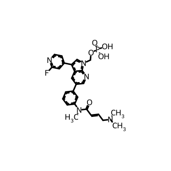 CN(C)C/C=C/C(=O)N(C)c1cccc(-c2cnc3c(c2)c(-c2ccnc(F)c2)cn3COP(=O)(O)O)c1